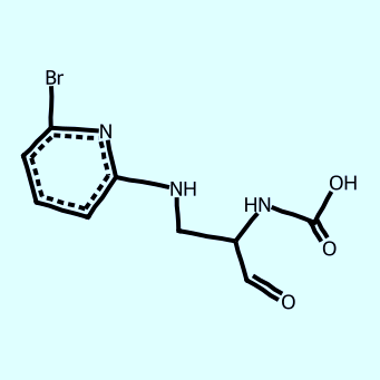 O=CC(CNc1cccc(Br)n1)NC(=O)O